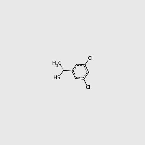 C[C@@H](S)c1cc(Cl)cc(Cl)c1